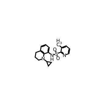 Cc1cccnc1S(=O)(=O)Nc1cccc2c1N(C1CC1)CCC2